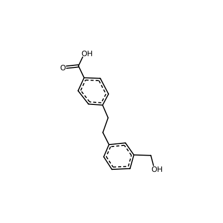 O=C(O)c1ccc(CCc2cccc(CO)c2)cc1